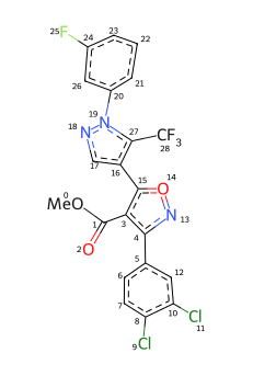 COC(=O)c1c(-c2ccc(Cl)c(Cl)c2)noc1-c1cnn(-c2cccc(F)c2)c1C(F)(F)F